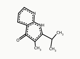 Cc1c(C(C)C)[nH]c2ncccc2c1=O